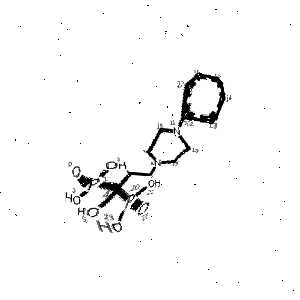 O=P(O)(O)C(O)(CCN1CCN(c2ccccc2)CC1)P(=O)(O)O